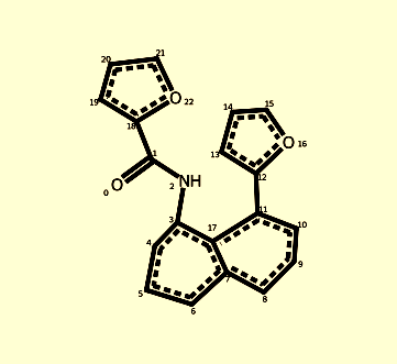 O=C(Nc1cccc2cccc(-c3ccco3)c12)c1ccco1